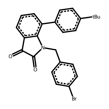 CC(C)(C)c1ccc(-c2cccc3c2N(Cc2ccc(Br)cc2)C(=O)C3=O)cc1